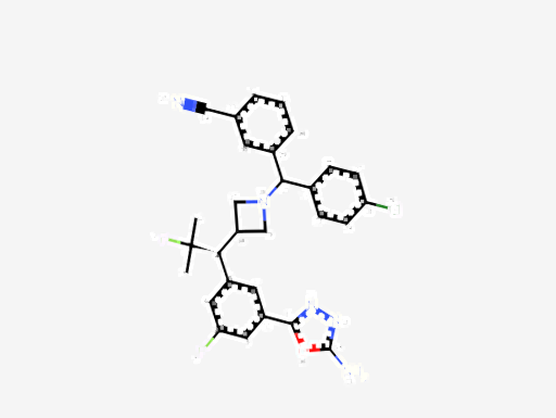 CC(C)(F)[C@H](c1cc(F)cc(-c2nnc(N)o2)c1)C1CN(C(c2ccc(Cl)cc2)c2cccc(C#N)c2)C1